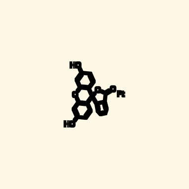 O=C1OC2(c3ccc(O)cc3Oc3cc(O)ccc32)c2ccccc21.[Pt]